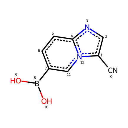 N#Cc1cnc2ccc(B(O)O)cn12